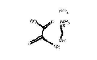 CCO.N.N.O=C(O)C(=O)O